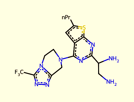 CCCc1cc2c(N3CCn4c(nnc4C(F)(F)F)C3)nc(C(N)CN)nc2s1